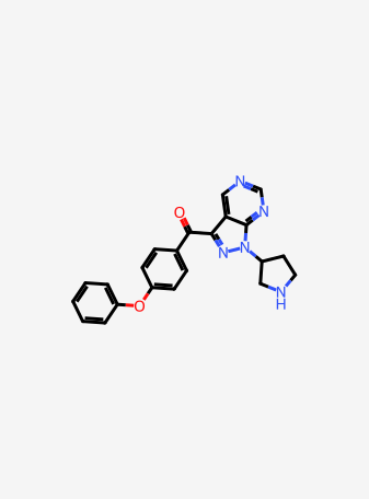 O=C(c1ccc(Oc2ccccc2)cc1)c1nn(C2CCNC2)c2ncncc12